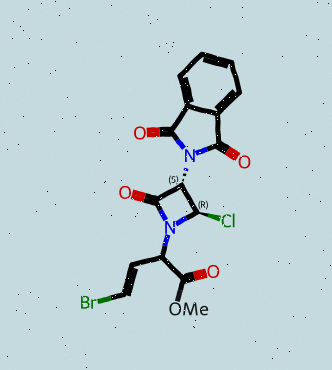 COC(=O)C(C=CBr)N1C(=O)[C@H](N2C(=O)c3ccccc3C2=O)[C@H]1Cl